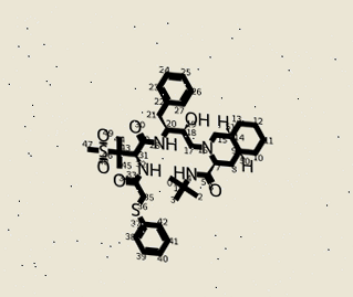 CC(C)(C)NC(=O)[C@@H]1C[C@@H]2CCCC[C@@H]2CN1C[C@@H](O)[C@H](Cc1ccccc1)NC(=O)[C@@H](NC(=O)CSc1ccccc1)C(C)(C)S(C)(=O)=O